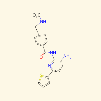 Nc1ccc(-c2cccs2)nc1NC(=O)c1ccc(CNC(=O)O)cc1